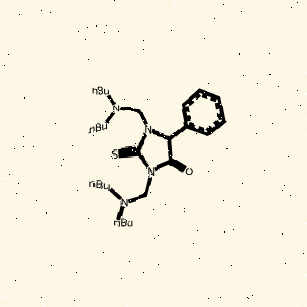 CCCCN(CCCC)CN1C(=O)C(c2ccccc2)N(CN(CCCC)CCCC)C1=S